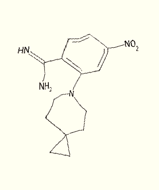 N=C(N)c1ccc([N+](=O)[O-])cc1N1CCC2(CC1)CC2